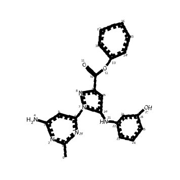 Cc1nc(N)cc(-n2nc(C(=O)Oc3ccccc3)cc2Nc2cccc(O)c2)n1